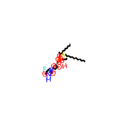 CCCCCCCCCCCCSC(CCCCCCC)C(C)OOP(=O)(OCCC)OC[C@H]1O[C@@H](n2cc(F)c(=O)[nH]c2=O)C[C@@H]1O